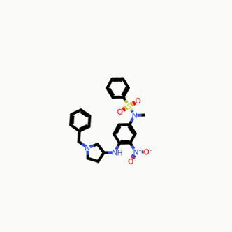 CN(c1ccc(NC2CCN(Cc3ccccc3)C2)c([N+](=O)[O-])c1)S(=O)(=O)c1ccccc1